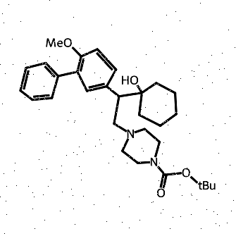 COc1ccc(C(CN2CCN(C(=O)OC(C)(C)C)CC2)C2(O)CCCCC2)cc1-c1ccccc1